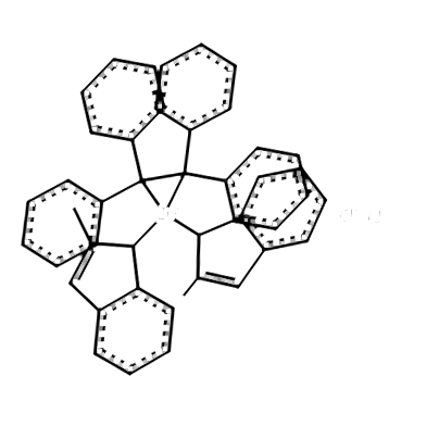 CC1=Cc2ccccc2[CH]1[Zr+2]1([CH]2C(C)=Cc3ccccc32)[C](c2ccccc2)(c2ccccc2)[C]1(c1ccccc1)c1ccccc1.[Cl-].[Cl-]